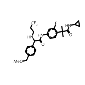 COCc1ccc(C(NCCC(F)(F)F)C(=O)Nc2ccc(C(C)(C)C(=O)NC3CC3)c(F)c2)cc1